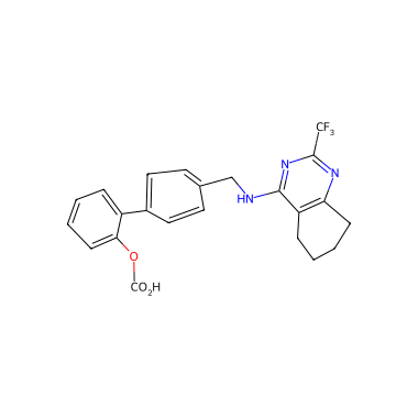 O=C(O)Oc1ccccc1-c1ccc(CNc2nc(C(F)(F)F)nc3c2CCCC3)cc1